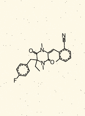 CCC1(Cc2ccc(F)cc2)C(=O)N(C)/C(=C/c2c(C)cccc2C#N)C(=O)N1C